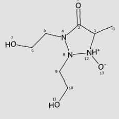 CC1C(=O)N(CCO)N(CCO)[NH+]1[O-]